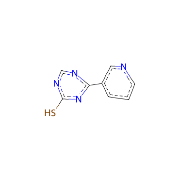 Sc1ncnc(-c2cccnc2)n1